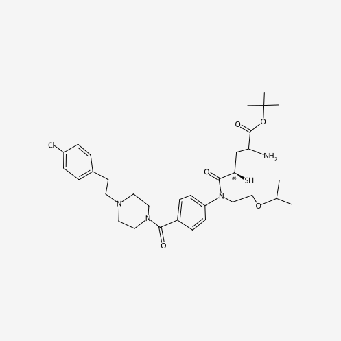 CC(C)OCCN(C(=O)[C@H](S)CC(N)C(=O)OC(C)(C)C)c1ccc(C(=O)N2CCN(CCc3ccc(Cl)cc3)CC2)cc1